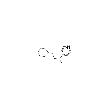 CC(CCC1CCCCC1)c1ccncc1